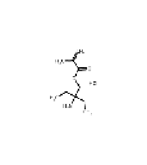 C=C(C)C(=O)OCC(N)(CC)CC.Cl